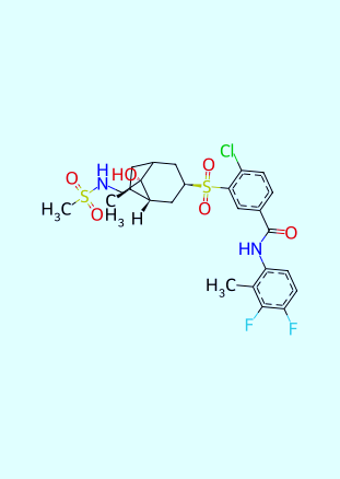 Cc1c(NC(=O)c2ccc(Cl)c(S(=O)(=O)[C@@H]3CC4C[C@H](C)[C@@H](C3)[C@@]4(O)CNS(C)(=O)=O)c2)ccc(F)c1F